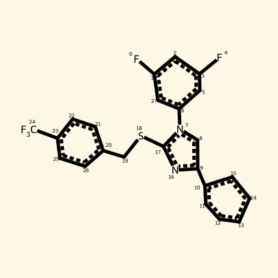 Fc1cc(F)cc(-n2cc(-c3ccccc3)nc2SCc2ccc(C(F)(F)F)cc2)c1